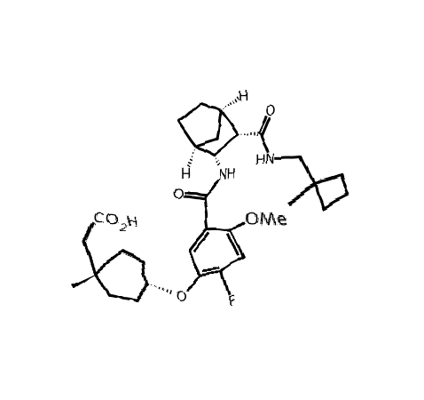 COc1cc(F)c(O[C@H]2CC[C@@](C)(CC(=O)O)CC2)cc1C(=O)N[C@@H]1[C@H]2CC[C@H](C2)[C@@H]1C(=O)NCC1(C)CCC1